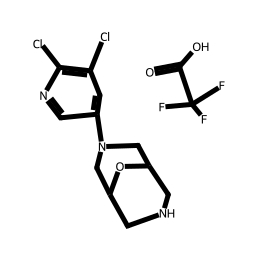 Clc1cc(N2CC3CNCC(C2)O3)cnc1Cl.O=C(O)C(F)(F)F